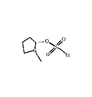 CCS(=O)(=O)O[C@H]1CCCN1C